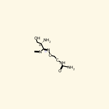 C=N/C(=N\OCCNC(N)=O)[C@@H](N)CO